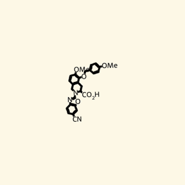 COc1ccc(COc2c(OC)ccc3c2CC(C(=O)O)N(c2nc4ccc(C#N)cc4o2)C3)cc1